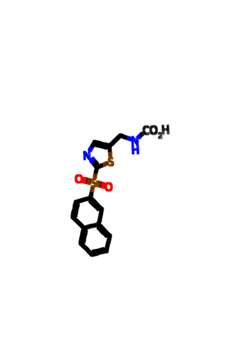 O=C(O)NCc1cnc(S(=O)(=O)c2ccc3ccccc3c2)s1